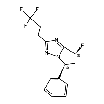 F[C@H]1C[C@@H](c2ccccc2)n2nc(CCC(F)(F)F)nc21